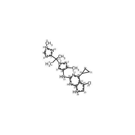 Cc1nn(C(C)(C)c2ncn(C)n2)cc1Nc1nc(C2CC2)c2c(Cl)c[nH]c2n1